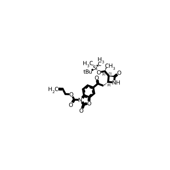 C=CCOC(=O)n1c(=O)oc2cc(C(=O)C[C@H]3NC(=O)[C@@H]3[C@@H](C)O[Si](C)(C)C(C)(C)C)ccc21